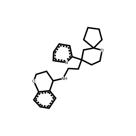 c1ccc(C2(CCNC3CCOc4ccccc43)CCOC3(CCCC3)C2)nc1